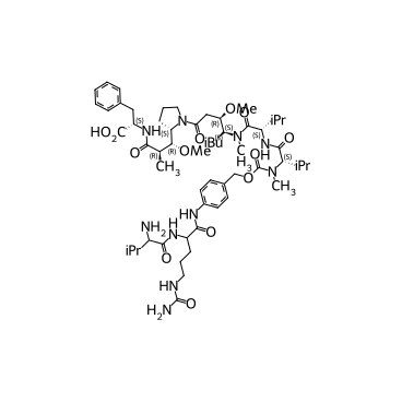 CC[C@H](C)[C@@H]([C@@H](CC(=O)N1CCC[C@H]1[C@H](OC)[C@@H](C)C(=O)N[C@@H](Cc1ccccc1)C(=O)O)OC)N(C)C(=O)[C@@H](NC(=O)[C@H](C(C)C)N(C)C(=O)OCc1ccc(NC(=O)C(CCCNC(N)=O)NC(=O)C(N)C(C)C)cc1)C(C)C